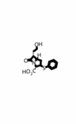 O=C(O)[C@H]1C(Sc2ccccc2)C[C@H]2[C@@H](CCO)C(=O)N12